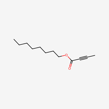 CC#CC(=O)OCCCCCCCC